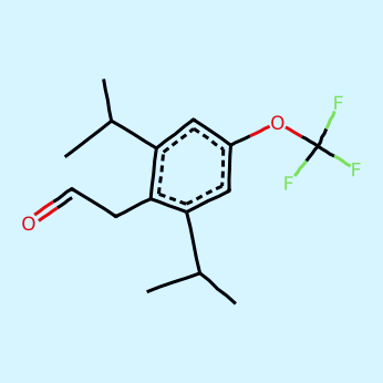 CC(C)c1cc(OC(F)(F)F)cc(C(C)C)c1CC=O